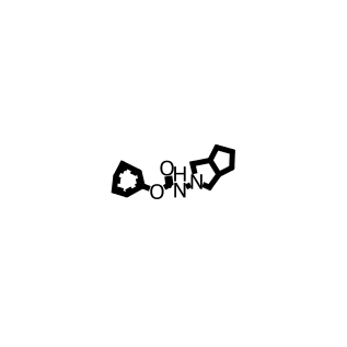 O=C(NN1CC2CCCC2C1)Oc1ccccc1